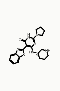 O=c1[nH]c(N2CCCC2)nc(N[C@@H]2CCCNC2)c1-c1nc2ccccc2s1